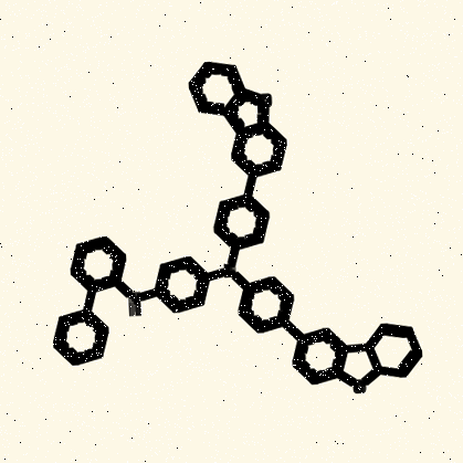 C1=CC2Oc3ccc(-c4ccc(N(c5ccc(Nc6ccccc6-c6ccccc6)cc5)c5ccc(-c6ccc7oc8ccccc8c7c6)cc5)cc4)cc3C2C=C1